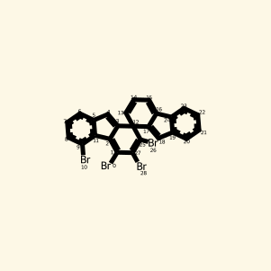 BrC1=C2C(=Cc3cccc(Br)c32)C2(C=CC=C3C2=Cc2ccccc23)C(Br)=C1Br